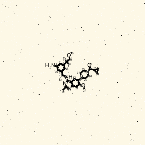 COCC(F)(F)c1cc(N)cc([C@@H](C)Nc2nc(C)nc3cc(OC)c(N4CCN(C(=O)C5CC5)CC4)cc23)c1